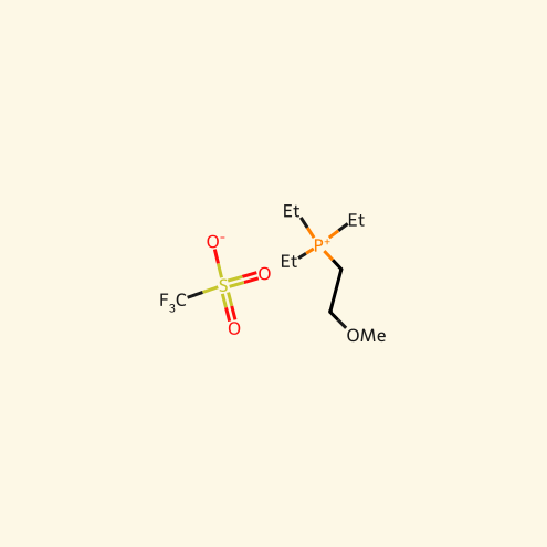 CC[P+](CC)(CC)CCOC.O=S(=O)([O-])C(F)(F)F